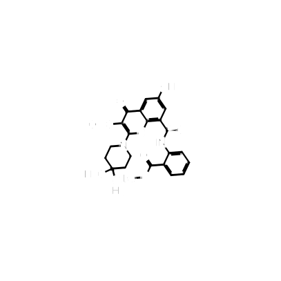 Cc1cc([C@@H](C)Nc2ccccc2C(=O)OC(C)(C)C)c2oc(N3CCC(C)(C)CC3)c(C=O)c(=O)c2c1